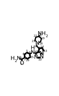 NC(=O)c1ccc(Nc2ncnn3ccc(CN4CCC(N)CC4)c23)cc1